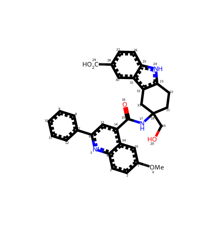 COc1ccc2nc(-c3ccccc3)cc(C(=O)NC3(CO)CCc4[nH]c5ccc(C(=O)O)cc5c4C3)c2c1